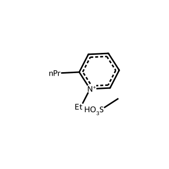 CCCc1cccc[n+]1CC.CS(=O)(=O)O